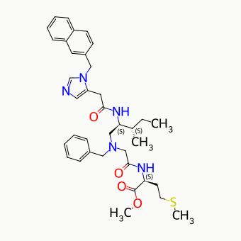 CC[C@H](C)[C@@H](CN(CC(=O)N[C@@H](CCSC)C(=O)OC)Cc1ccccc1)NC(=O)Cc1cncn1Cc1ccc2ccccc2c1